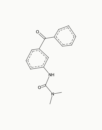 CN(C)C(=O)Nc1cccc(C(=O)c2ccccc2)c1